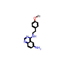 CC(C)Oc1ccc(CCNc2ncnc3ccc(N)cc23)cc1